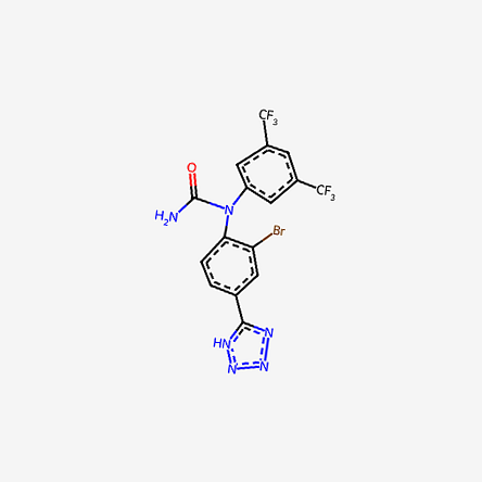 NC(=O)N(c1cc(C(F)(F)F)cc(C(F)(F)F)c1)c1ccc(-c2nnn[nH]2)cc1Br